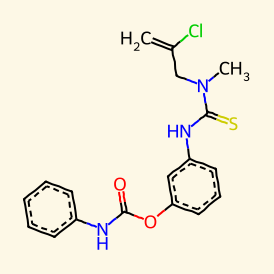 C=C(Cl)CN(C)C(=S)Nc1cccc(OC(=O)Nc2ccccc2)c1